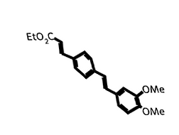 CCOC(=O)/C=C/c1ccc(/C=C/c2ccc(OC)c(OC)c2)cc1